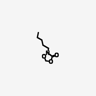 CCCCCN1OCOC1=O